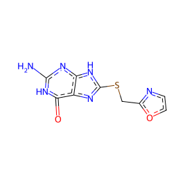 Nc1nc2[nH]c(SCc3ncco3)nc2c(=O)[nH]1